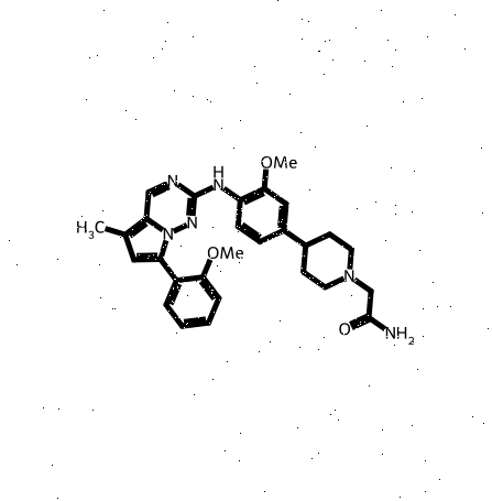 COc1cc(C2CCN(CC(N)=O)CC2)ccc1Nc1ncc2c(C)cc(-c3ccccc3OC)n2n1